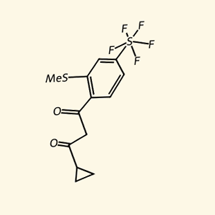 CSc1cc(S(F)(F)(F)(F)F)ccc1C(=O)CC(=O)C1CC1